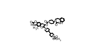 Cc1cc(C[C@@H](OC(=O)N2CCC(N3CCc4ccccc4NC3=O)CC2)C(=O)N2CCC(C3CCN(S(C)(=O)=O)CC3)CC2)cc2oc(=O)[nH]c12